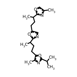 Cc1coc(C(C)CCc2cnc(C(C)CCc3oc(C(C)C)nc3C)o2)n1